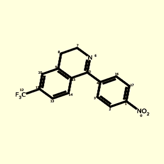 O=[N+]([O-])c1ccc(C2=NCCc3cc(C(F)(F)F)ccc32)cc1